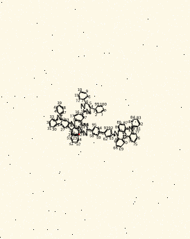 c1ccc(-c2cc(-c3ccccc3)nc(-c3ccc(-n4c5ccccc5c5cc6c7ccccc7n(-c7ccccc7)c6cc54)c(-c4nc(-c5ccccc5)nc(-c5ccc(-c6ccc(N7c8ccccc8B8c9ccccc9N(c9ccccc9)c9cccc7c98)cc6)cc5)n4)c3)n2)cc1